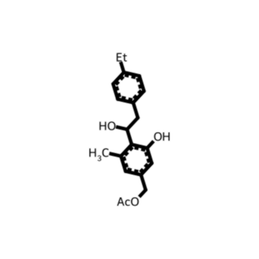 CCc1ccc(CC(O)c2c(C)cc(COC(C)=O)cc2O)cc1